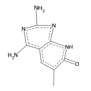 Cc1cc2c(N)nc(N)nc2[nH]c1=O